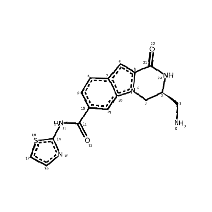 NC[C@H]1Cn2c(cc3ccc(C(=O)Nc4nccs4)cc32)C(=O)N1